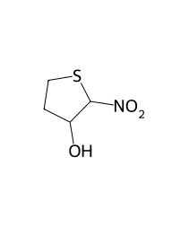 O=[N+]([O-])C1SCCC1O